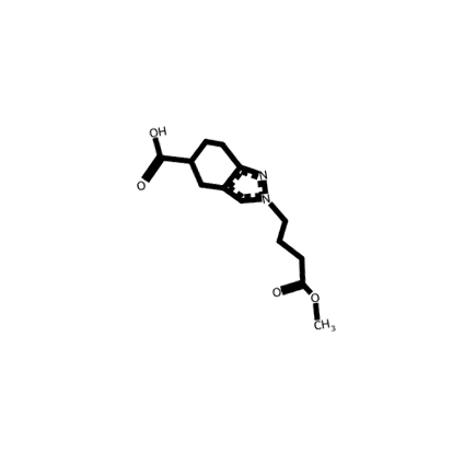 COC(=O)CCCn1cc2c(n1)CCC(C(=O)O)C2